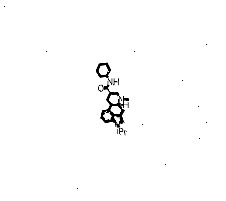 CC(C)n1cc2c3c(cccc31)C1C[C@@H](C(=O)NC3CCCCC3)CN(C)[C@@H]1C2